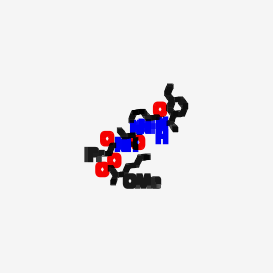 C=CCCC(OC)[C@@H](C)C(=O)OC(C(=O)NC(C)C(=O)N1CCCC(C(=O)N[C@H](C)c2cccc(C=C)c2)N1)C(C)C